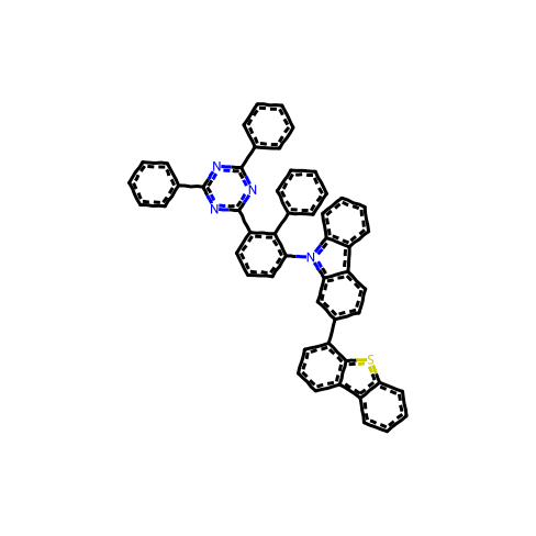 c1ccc(-c2nc(-c3ccccc3)nc(-c3cccc(-n4c5ccccc5c5ccc(-c6cccc7c6sc6ccccc67)cc54)c3-c3ccccc3)n2)cc1